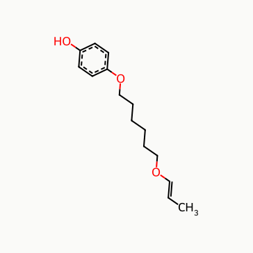 CC=COCCCCCCOc1ccc(O)cc1